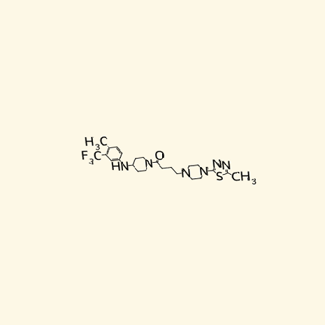 Cc1nnc(N2CCN(CCCC(=O)N3CCC(Nc4ccc(C)c(C(F)(F)F)c4)CC3)CC2)s1